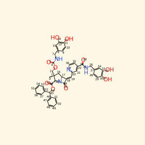 C[C@@]1(COC(=O)NCc2ccc(O)c(O)c2)CC2/C(=C\c3cc(C(=O)NCc4ccc(O)c(O)c4)ccn3)C(=O)N2[C@H]1C(=O)OC(c1ccccc1)c1ccccc1